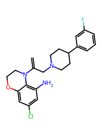 C=C(CN1CCC(c2cccc(F)c2)CC1)N1CCOc2cc(Cl)cc(N)c21